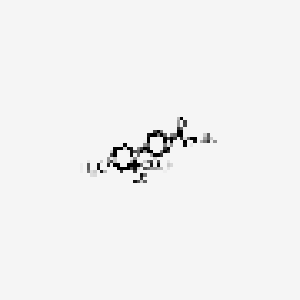 CC[C@@]1(C(=O)O)CN(C)CCN1C1CCN(C(=O)OC(C)(C)C)CC1